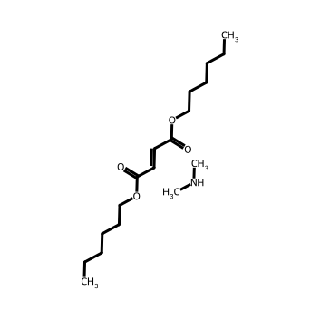 CCCCCCOC(=O)C=CC(=O)OCCCCCC.CNC